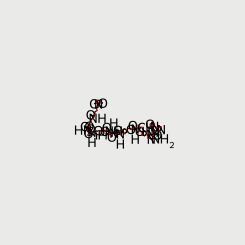 CC(CNC(=O)OCc1ccc(NC(=O)CNC(=O)C(NC(=O)OCCOCCNS(=O)(=O)NC(=O)OCCCNC(=O)CCCCCN2C(=O)C=CC2=O)C(C)C)cc1)Oc1ccc(-c2cnc(N)c(C(=O)Nc3cnccc3N3CCOCC3)n2)cc1